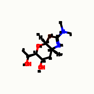 CC(O)[C@H]1O[C@@H]2SC(N(C)C)=N[C@@H]2C[C@@H]1O